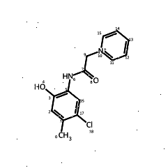 Cc1cc(O)c(NC(=O)C[n+]2ccccc2)cc1Cl